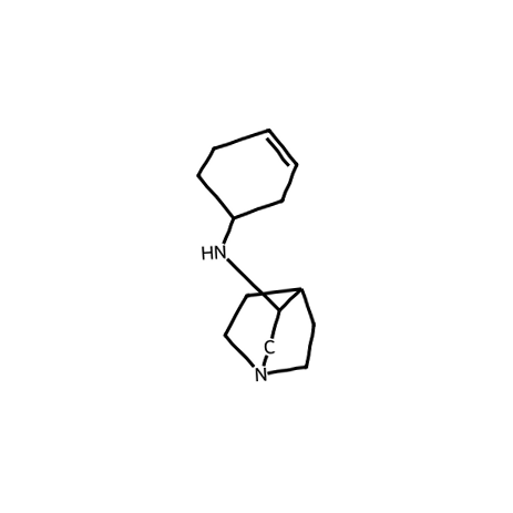 C1=CCC(NC2CN3CCC2CC3)CC1